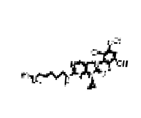 CCOc1cc(O)c(F)c(N2Cc3cnc(NCCCCCN(C(C)C)C(C)C)nc3N(C3CC3)C2=O)c1Cl